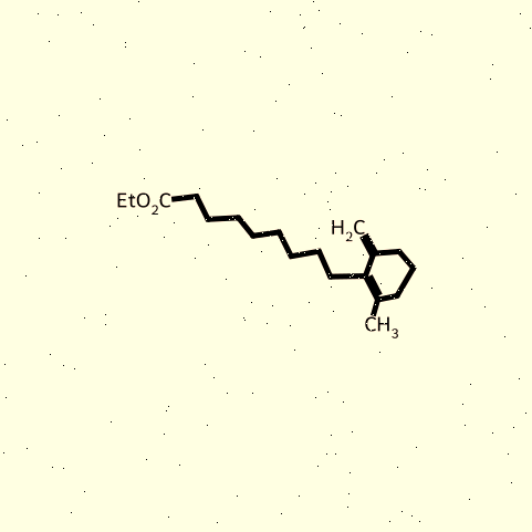 C=C1CCCC(C)=C1CCCCCCCCC(=O)OCC